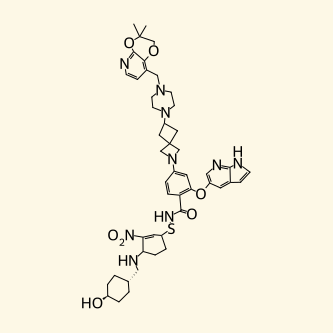 CC1(C)COc2c(CN3CCN(C4CC5(C4)CN(c4ccc(C(=O)NSC6C=C([N+](=O)[O-])C(NC[C@H]7CC[C@H](O)CC7)CC6)c(Oc6cnc7[nH]ccc7c6)c4)C5)CC3)ccnc2O1